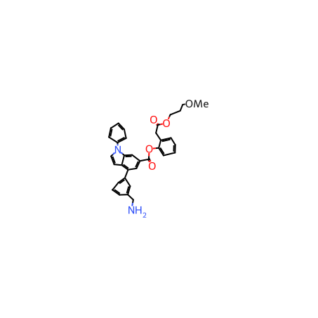 COCCCOC(=O)Cc1ccccc1OC(=O)c1cc(-c2cccc(CN)c2)c2ccn(-c3ccccc3)c2c1